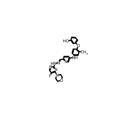 Cc1cc(Nc2ccc(/C=N/Nc3ncc(F)c(N4CCOCC4)n3)nc2)ccc1Oc1cccc(O)c1